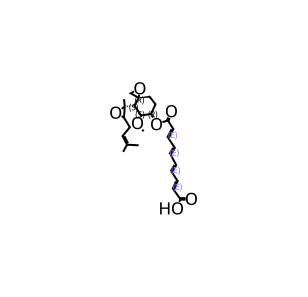 CO[C@H]1[C@H](C2(C)OC2CC=C(C)C)[C@]2(CC[C@H]1OC(=O)/C=C/C=C/C=C/C=C/C(=O)O)CO2